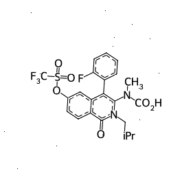 CC(C)Cn1c(N(C)C(=O)O)c(-c2ccccc2F)c2cc(OS(=O)(=O)C(F)(F)F)ccc2c1=O